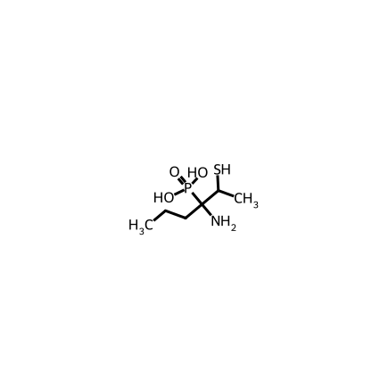 CCCC(N)(C(C)S)P(=O)(O)O